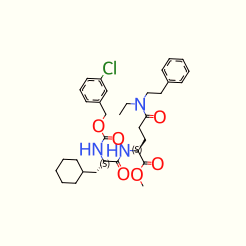 CCN(CCc1ccccc1)C(=O)CC[C@H](NC(=O)[C@H](CC1CCCCC1)NC(=O)OCc1cccc(Cl)c1)C(=O)OC